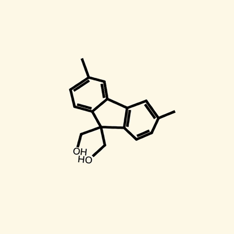 Cc1ccc2c(c1)-c1cc(C)ccc1C2(CO)CO